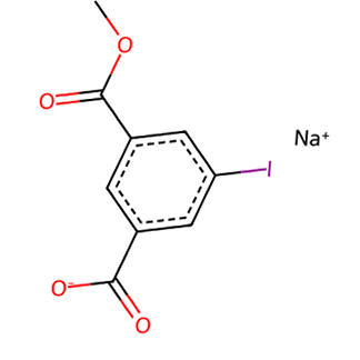 COC(=O)c1cc(I)cc(C(=O)[O-])c1.[Na+]